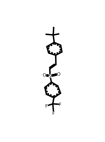 CC(C)(C)c1ccc(C=CS(=O)(=O)c2ccc(C(F)(F)F)cc2)cc1